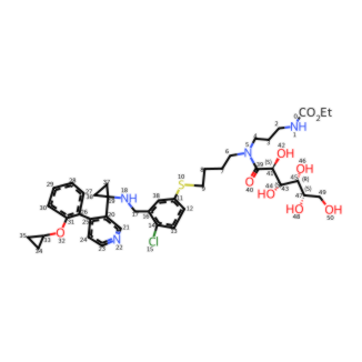 CCOC(=O)NCCCN(CCCCSc1ccc(Cl)c(CNC2(c3cnccc3-c3ccccc3OC3CC3)CC2)c1)C(=O)[C@@H](O)[C@@H](O)[C@H](O)[C@@H](O)CO